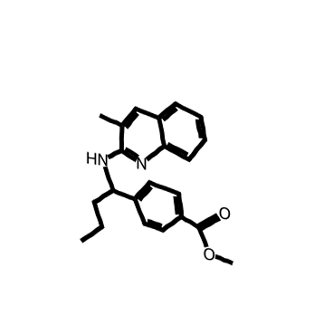 CCCC(Nc1nc2ccccc2cc1C)c1ccc(C(=O)OC)cc1